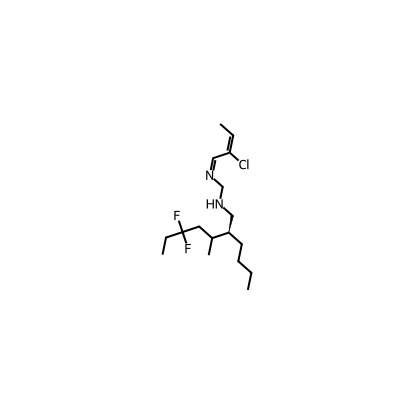 C/C=C(Cl)\C=N/CNC[C@@H](CCCC)C(C)CC(F)(F)CC